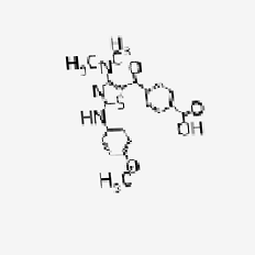 COc1ccc(Nc2nc(N(C)C)c(C(=O)c3ccc(C(=O)O)cc3)s2)cc1